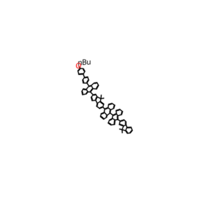 CCCCOc1ccc(-c2ccc(-c3c4ccccc4c(-c4ccc5c(c4)C(C)(C)c4cc(-c6c7ccccc7c(-c7c8ccccc8c(-c8ccc9c(c8)C(C)(C)c8ccccc8-9)c8ccccc78)c7ccccc67)ccc4-5)c4ccccc34)cc2)cc1